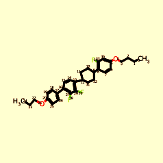 CCCCOc1ccc(C2CCC(c3ccc(-c4ccc(OCCC)cc4)c(F)c3F)CC2)c(F)c1